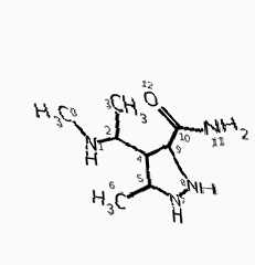 CNC(C)C1C(C)NNC1C(N)=O